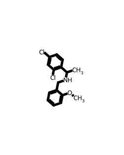 COc1ccccc1CNC(C)c1ccc(Cl)cc1Cl